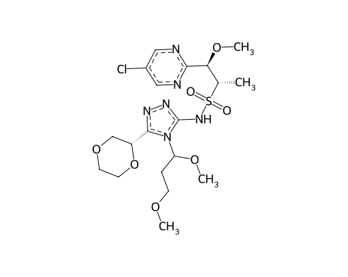 COCCC(OC)n1c(NS(=O)(=O)[C@@H](C)[C@H](OC)c2ncc(Cl)cn2)nnc1[C@H]1COCCO1